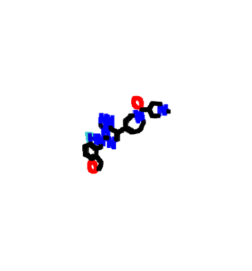 CN1CCC(C(=O)N2CCC=C(c3cnc(NCc4c(F)ccc5c4CCO5)n4cnnc34)CC2)CC1